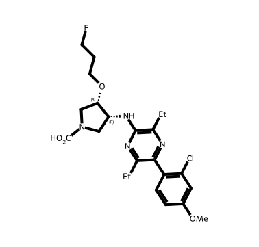 CCc1nc(-c2ccc(OC)cc2Cl)c(CC)nc1N[C@@H]1CN(C(=O)O)C[C@@H]1OCCCF